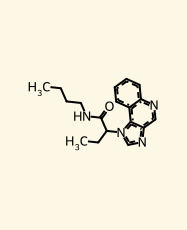 CCCCNC(=O)C(CC)n1cnc2cnc3ccccc3c21